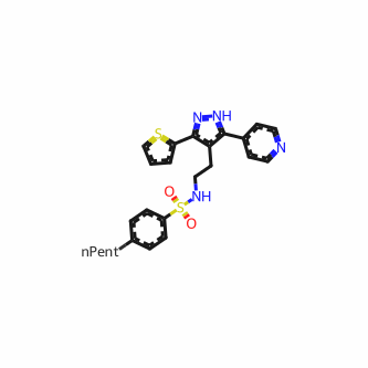 CCCCCc1ccc(S(=O)(=O)NCCc2c(-c3cccs3)n[nH]c2-c2ccncc2)cc1